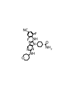 N#Cc1cc(F)c(Nc2nc3cnc(NC4CCCOCC4)nc3n2[C@H]2CC[C@@H](C(N)=O)CC2)c(F)c1